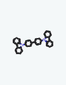 c1ccc2c(c#1)c1ccccc1n2-c1ccc(-c2ccc(-n3c4ccccc4c4ccccc43)cc2)cc1